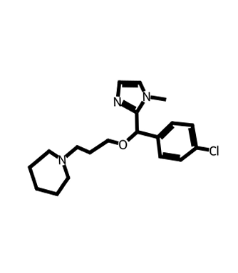 Cn1ccnc1C(OCCCN1CCCCC1)c1ccc(Cl)cc1